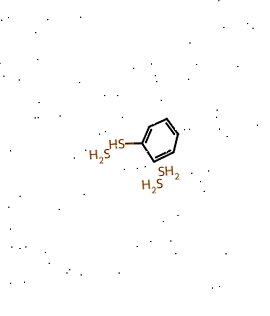 S.S.S.Sc1ccccc1